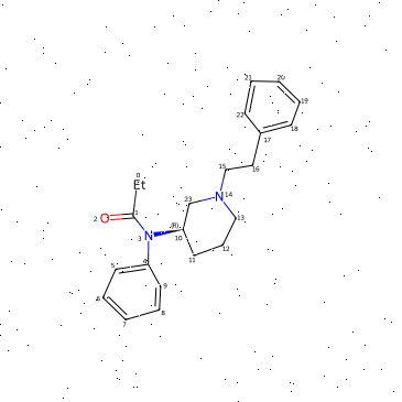 CCC(=O)N(c1ccccc1)[C@@H]1CCCN(CCc2ccccc2)C1